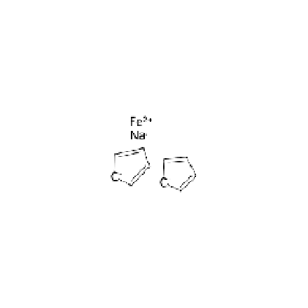 [Fe+2].[Na].c1cc[cH-]c1.c1cc[cH-]c1